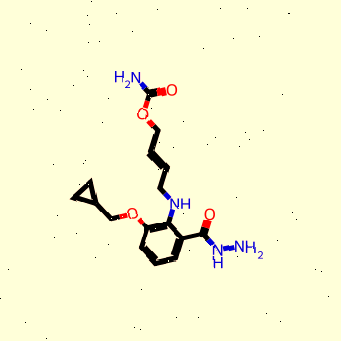 NNC(=O)c1cccc(OCC2CC2)c1NCC=CCOC(N)=O